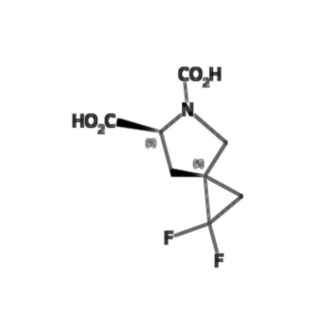 O=C(O)[C@@H]1C[C@@]2(CN1C(=O)O)CC2(F)F